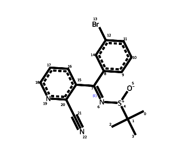 CC(C)(C)[S+]([O-])/N=C(\c1cccc(Br)c1)c1cccnc1C#N